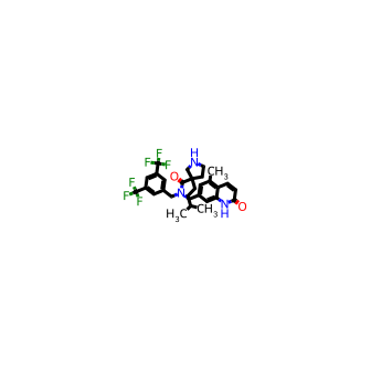 Cc1cc(CN(Cc2cc(C(F)(F)F)cc(C(F)(F)F)c2)C(=O)C2(CCC(C)C)CCNC2)cc2[nH]c(=O)ccc12